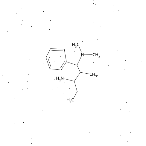 CCC(N)C(C)C(c1ccccc1)N(C)C